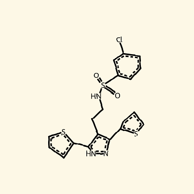 O=S(=O)(NCCc1c(-c2cccs2)n[nH]c1-c1cccs1)c1cccc(Cl)c1